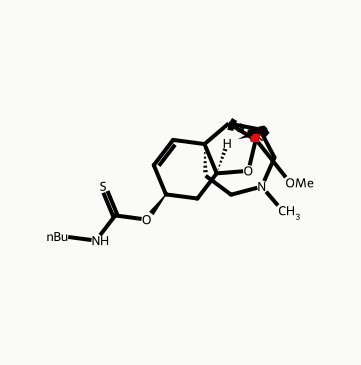 CCCCNC(=S)O[C@H]1C=C[C@@]23CCN(C)Cc4ccc(OC)c(c42)O[C@H]3C1